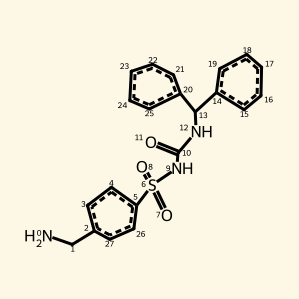 NCc1ccc(S(=O)(=O)NC(=O)NC(c2ccccc2)c2ccccc2)cc1